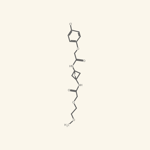 COCCOCC(=O)NC12CC(NC(=O)COc3ccc(Cl)cc3)(C1)C2